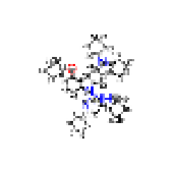 C1=C(c2ccccc2)N=C(n2c3cc4c5ccccc5n(-c5ccccc5)c4cc3c3c4oc5ccccc5c4ccc32)NC1c1ccccc1